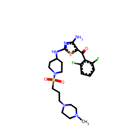 CN1CCN(CCCS(=O)(=O)N2CCC(Nc3nc(N)c(C(=O)c4c(F)cccc4F)s3)CC2)CC1